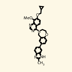 COc1c(OCC2CC2)ccc2c(N3CCOc4ccc(-c5ccc6nc(C)[nH]c6c5)cc4C3)ncnc12